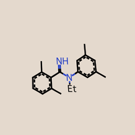 CCN(C(=N)c1c(C)cccc1C)c1cc(C)cc(C)c1